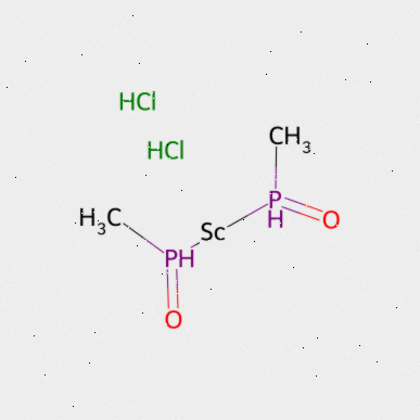 C[PH](=O)[Sc][PH](C)=O.Cl.Cl